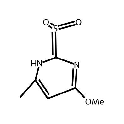 COc1cc(C)[nH]c(=S(=O)=O)n1